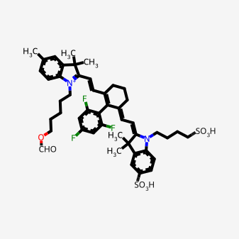 Cc1ccc2c(c1)C(C)(C)C(/C=C/C1=C(c3c(F)cc(F)cc3F)C(=C/C=C3/N(CCCCS(=O)(=O)O)c4ccc(S(=O)(=O)O)cc4C3(C)C)/CCC1)=[N+]2CCCCCOC=O